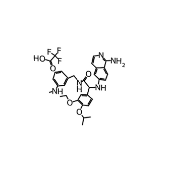 CCOc1cc(C(Nc2ccc3c(N)nccc3c2)C(=O)NCc2cccc(NC)c2)ccc1OC(C)C.O=C(O)C(F)(F)F